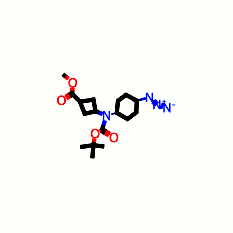 COC(=O)C1CC(N(C(=O)OC(C)(C)C)[C@H]2CC[C@H](N=[N+]=[N-])CC2)C1